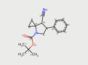 CC(C)(C)OC(=O)N1CC(c2ccccc2)C(C#N)C12CC2